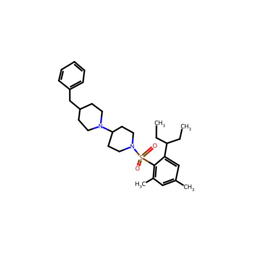 CCC(CC)c1cc(C)cc(C)c1S(=O)(=O)N1CCC(N2CCC(Cc3ccccc3)CC2)CC1